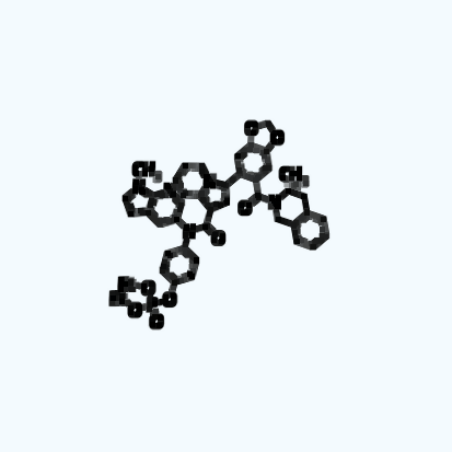 CCOP(=O)(OCC)Oc1ccc(N(C(=O)c2cc(-c3cc4c(cc3C(=O)N3Cc5ccccc5C[C@H]3C)OCO4)n3ccccc23)c2cnc3c(ccn3C)c2)cc1